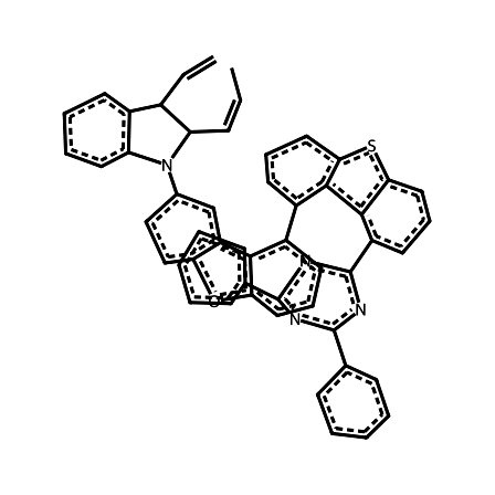 C=CC1c2ccccc2N(c2ccc3oc4cccc(-c5cccc6sc7cccc(-c8nc(-c9ccccc9)nc(-c9ccccc9)n8)c7c56)c4c3c2)C1/C=C\C